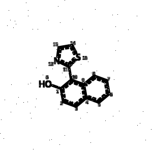 Oc1ccc2ccccc2c1-c1nccs1